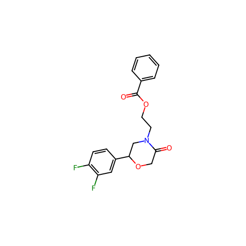 O=C(OCCN1CC(c2ccc(F)c(F)c2)OCC1=O)c1ccccc1